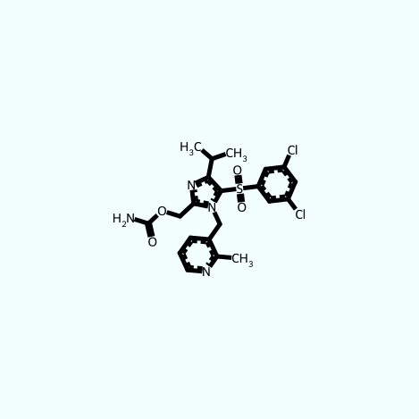 Cc1ncccc1Cn1c(COC(N)=O)nc(C(C)C)c1S(=O)(=O)c1cc(Cl)cc(Cl)c1